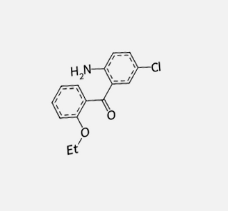 CCOc1ccccc1C(=O)c1cc(Cl)ccc1N